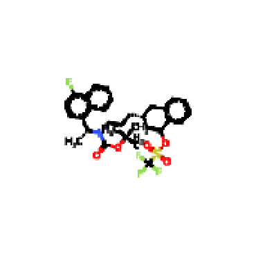 C[C@H](c1ccc(F)c2ccccc12)N(CCC[C@H]1C=C(OS(=O)(=O)C(F)(F)F)c2ccccc2C1)C(=O)OC(C)(C)C